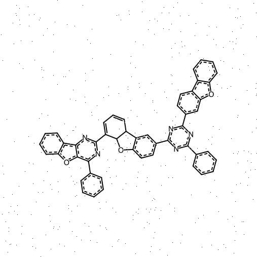 C1=CC2c3cc(-c4nc(-c5ccccc5)nc(-c5ccc6c(c5)oc5ccccc56)n4)ccc3OC2C(c2nc(-c3ccccc3)c3oc4ccccc4c3n2)=C1